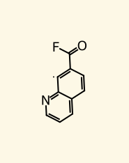 O=C(F)c1[c]c2ncccc2cc1